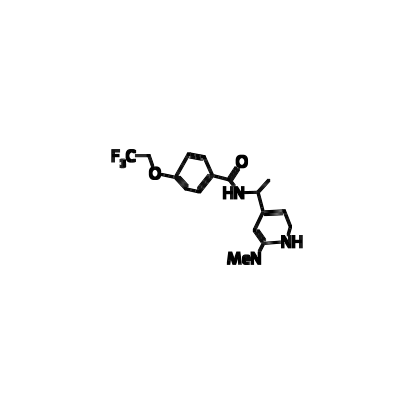 CNC1=CC(C(C)NC(=O)c2ccc(OCC(F)(F)F)cc2)=CCN1